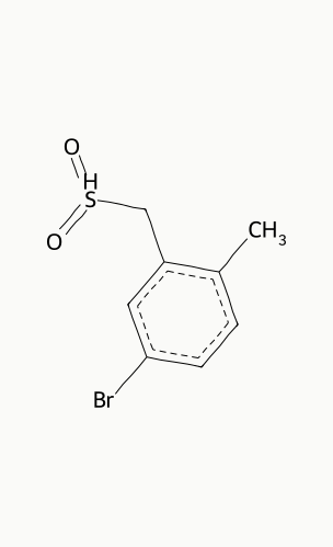 Cc1ccc(Br)cc1C[SH](=O)=O